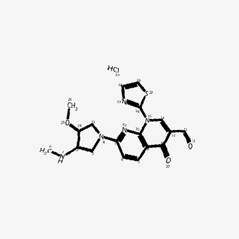 CNC1CN(c2ccc3c(=O)c(C=O)cn(-c4nccs4)c3n2)CC1OC.Cl